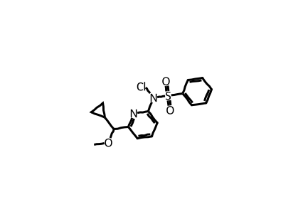 COC(c1cccc(N(Cl)S(=O)(=O)c2ccccc2)n1)C1CC1